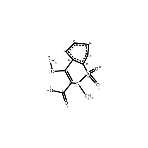 COC1=C(C(=O)O)N(C)S(=O)(=O)c2ccccc21